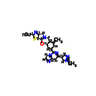 CCCCc1nc2c(s1)C(=O)N(Cc1ccc(-c3nc(-c4cnn(C)c4)cc4nccn34)cc1C)C2